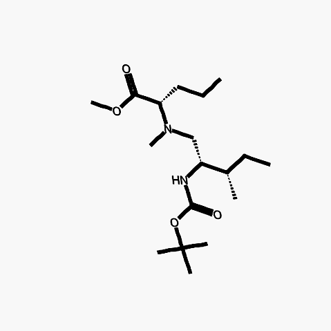 CCC[C@@H](C(=O)OC)N(C)C[C@@H](NC(=O)OC(C)(C)C)[C@@H](C)CC